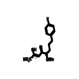 CON(CCCc1ccc(F)cc1)C(=O)/C=C(\O)C(=O)O